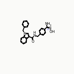 N/C(=N/O)c1ccc(CNC(=O)c2cn(Cc3ccccc3)c3ccccc23)cc1